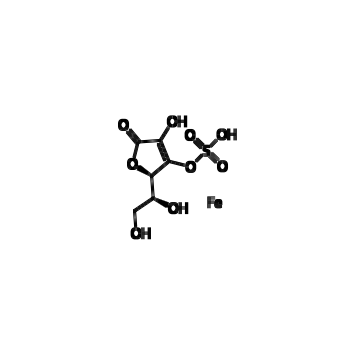 O=C1O[C@H]([C@@H](O)CO)C(OS(=O)(=O)O)=C1O.[Fe]